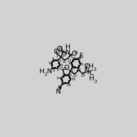 CCC1(c2ccc(N)cc2)CCC(=O)NC1=O.CN(C)CCCC1(c2ccc(F)cc2)OCc2cc(C#N)ccc21